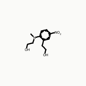 CN(CCO)c1ccc([N+](=O)[O-])cc1CCO